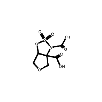 O=C(O)N1C2(C(=O)O)COCC2OS1(=O)=O